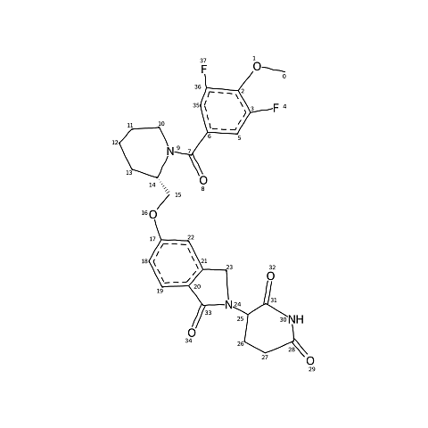 COc1c(F)cc(C(=O)N2CCCC[C@H]2COc2ccc3c(c2)CN(C2CCC(=O)NC2=O)C3=O)cc1F